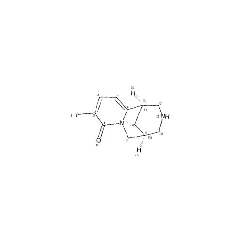 O=c1c(I)ccc2n1C[C@@H]1CNC[C@H]2C1